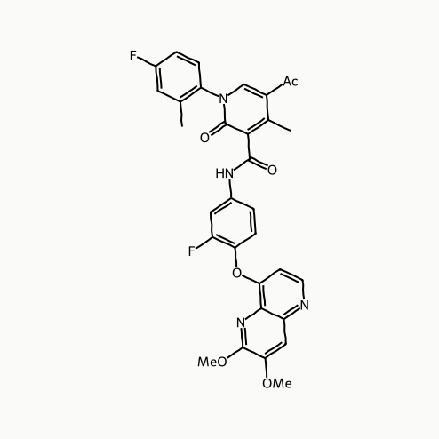 COc1cc2nccc(Oc3ccc(NC(=O)c4c(C)c(C(C)=O)cn(-c5ccc(F)cc5C)c4=O)cc3F)c2nc1OC